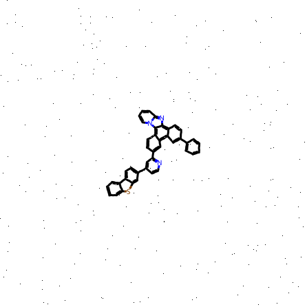 c1ccc(-c2ccc3c(c2)c2cc(-c4cc(-c5ccc6c(c5)sc5ccccc56)ccn4)ccc2c2c3nc3ccccn32)cc1